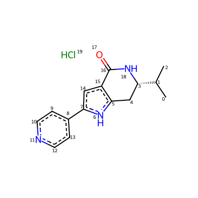 CC(C)[C@@H]1Cc2[nH]c(-c3ccncc3)cc2C(=O)N1.Cl